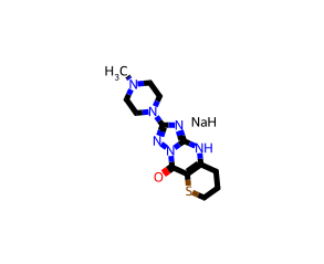 CN1CCN(c2nc3[nH]c4c(c(=O)n3n2)SCCC4)CC1.[NaH]